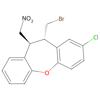 O=[N+]([O-])C[C@@H]1c2ccccc2Oc2ccc(Cl)cc2[C@H]1CBr